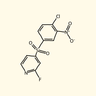 O=[N+]([O-])c1cc(S(=O)(=O)c2ccnc(F)c2)ccc1Cl